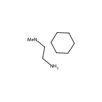 C1CCCCC1.CNCCN